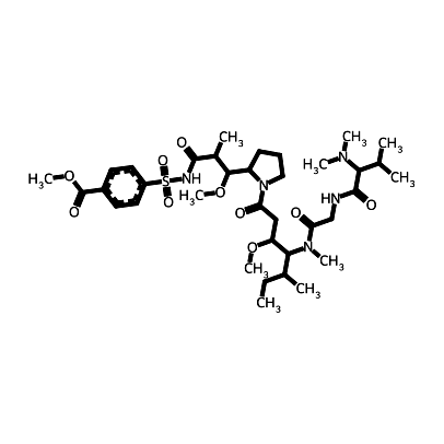 CCC(C)C(C(CC(=O)N1CCCC1C(OC)C(C)C(=O)NS(=O)(=O)c1ccc(C(=O)OC)cc1)OC)N(C)C(=O)CNC(=O)C(C(C)C)N(C)C